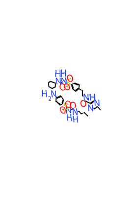 CCCCNC(=O)NS(=O)(=O)c1ccc(N)cc1.Cc1cnc(C(=O)NCCc2ccc(S(=O)(=O)NC(=O)NC3CCCCC3)cc2)cn1